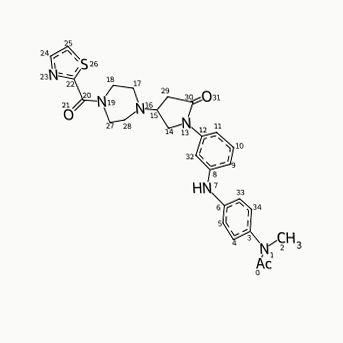 CC(=O)N(C)c1ccc(Nc2cccc(N3CC(N4CCN(C(=O)c5nccs5)CC4)CC3=O)c2)cc1